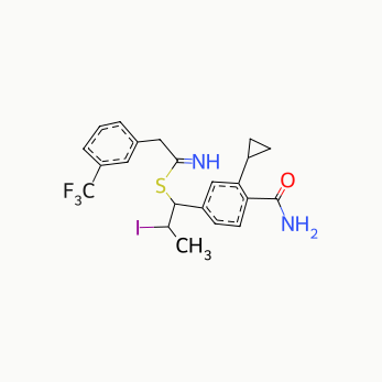 CC(I)C(SC(=N)Cc1cccc(C(F)(F)F)c1)c1ccc(C(N)=O)c(C2CC2)c1